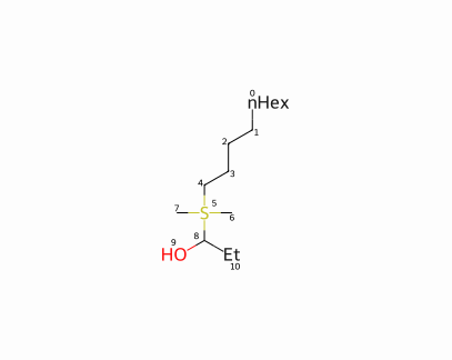 CCCCCCCCCCS(C)(C)C(O)CC